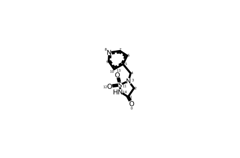 O=C1CN(Cc2ccncc2)S(=O)(=O)N1